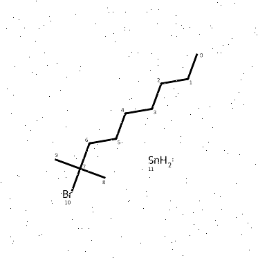 CCCCCCCC(C)(C)Br.[SnH2]